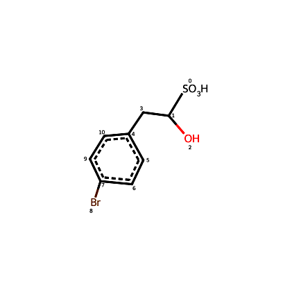 O=S(=O)(O)C(O)Cc1ccc(Br)cc1